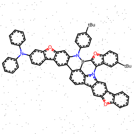 CC(C)(C)c1ccc(N2B3c4oc5ccc(C(C)(C)C)cc5c4-n4c5cc6c(cc5c5ccc(c3c54)-c3cc4c(cc32)oc2cc(N(c3ccccc3)c3ccccc3)ccc24)oc2ccccc26)cc1